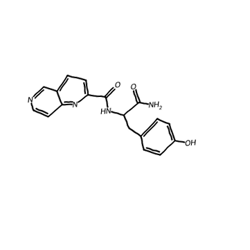 NC(=O)C(Cc1ccc(O)cc1)NC(=O)c1ccc2cnccc2n1